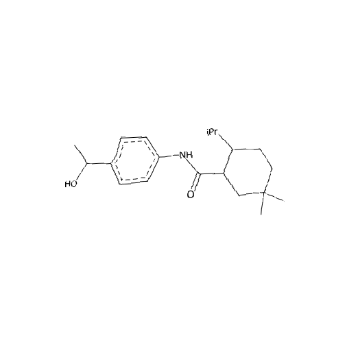 CC(O)c1ccc(NC(=O)C2CC(C)(C)CCC2C(C)C)cc1